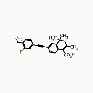 CCOC(=O)C1=C(C)CC(C)(C)c2cc(C#Cc3ccc(CC(=O)O)c(F)c3)ccc21